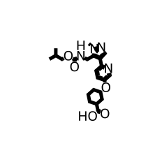 CC(C)COC(=O)NCc1c(-c2ccc(O[C@H]3CCCC(C(=O)O)C3)cn2)cnn1C